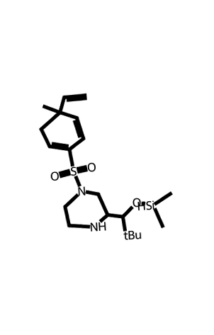 C=CC1(C)C=CC(S(=O)(=O)N2CCNC(C(O[SiH](C)C)C(C)(C)C)C2)=CC1